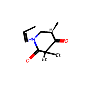 C=CC.CCC1(CC)C(=O)NC[C@@H](C)C1=O